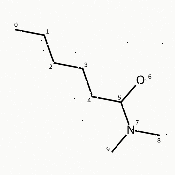 CCCCCC([O])N(C)C